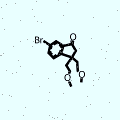 COCCC1(CCOC)CC(=O)c2cc(Br)ccc21